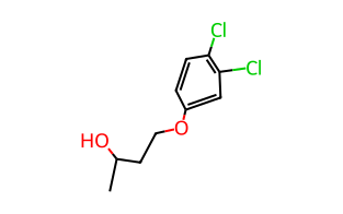 CC(O)CCOc1ccc(Cl)c(Cl)c1